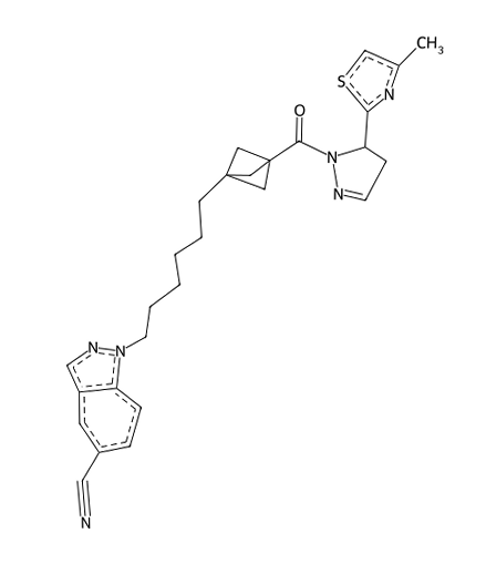 Cc1csc(C2CC=NN2C(=O)C23CC(CCCCCCn4ncc5cc(C#N)ccc54)(C2)C3)n1